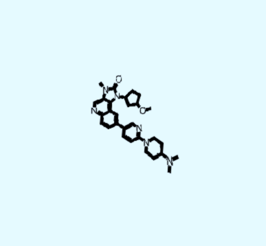 COC1CCC(n2c(=O)n(C)c3cnc4ccc(-c5ccc(N6CCC(N(C)C)CC6)nc5)cc4c32)C1